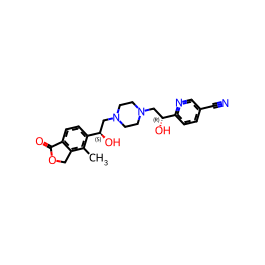 Cc1c([C@H](O)CN2CCN(C[C@@H](O)c3ccc(C#N)cn3)CC2)ccc2c1COC2=O